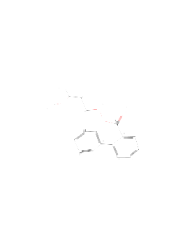 COC(C)C[CH]OOC(=O)c1ccccc1-c1ccccc1